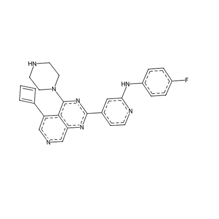 Fc1ccc(Nc2cc(-c3nc(N4CCNCC4)c4c(C5=CC=C5)cncc4n3)ccn2)cc1